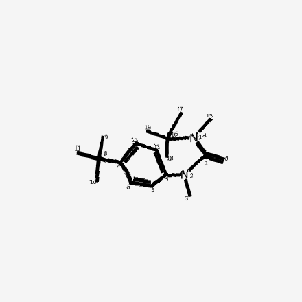 C=C(N(C)c1ccc(C(C)(C)C)cc1)N(C)C(C)(C)C